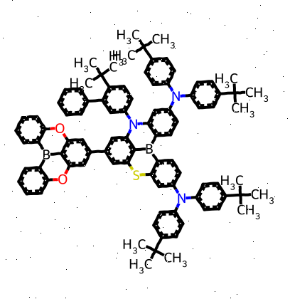 CC(C)(C)c1ccc(N(c2ccc(C(C)(C)C)cc2)c2ccc3c(c2)Sc2cc(-c4cc5c6c(c4)Oc4ccccc4B6c4ccccc4O5)cc4c2B3c2ccc(N(c3ccc(C(C)(C)C)cc3)c3ccc(C(C)(C)C)cc3)cc2N4c2ccc(C(C)(C)C)c(-c3ccccc3)c2)cc1